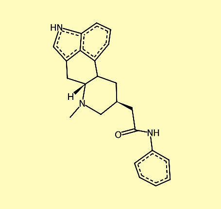 CN1C[C@H](CC(=O)Nc2ccccc2)CC2c3cccc4[nH]cc(c34)C[C@H]21